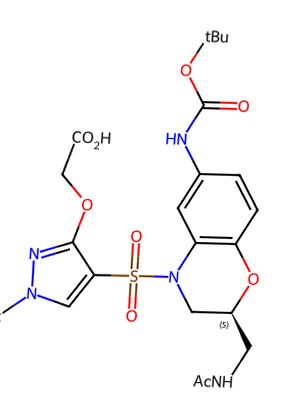 CCn1cc(S(=O)(=O)N2C[C@H](CNC(C)=O)Oc3ccc(NC(=O)OC(C)(C)C)cc32)c(OCC(=O)O)n1